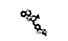 COc1cc(/C=C2\CC3(CC3)CN3C2=NOC32CCOc3ccccc32)ccc1-n1cnc(C)c1